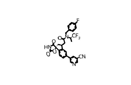 C[C@H](N(Cc1ccc(F)cc1)C(=O)CC1C[C@@]2(OC(=O)NC2=O)c2ccc(-c3cncc(C#N)c3)cc21)C(F)(F)F